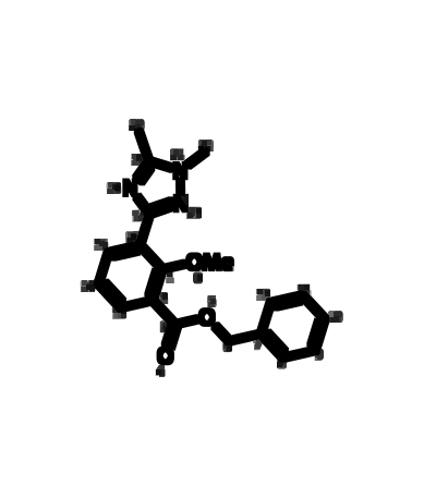 COc1c(C(=O)OCc2ccccc2)cccc1-c1nc(C)n(C)n1